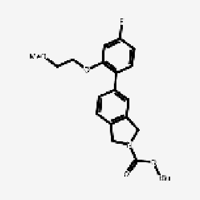 COCCOc1cc(F)ccc1-c1ccc2c(c1)CN(C(=O)OC(C)(C)C)C2